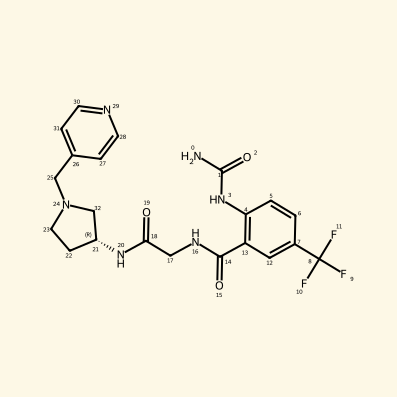 NC(=O)Nc1ccc(C(F)(F)F)cc1C(=O)NCC(=O)N[C@@H]1CCN(Cc2ccncc2)C1